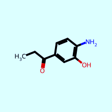 CCC(=O)c1ccc(N)c(O)c1